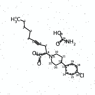 CCCCCC#CCC(N1CCC(c2ccc(Cl)cc2)CC1)=S(=O)=O.NC(=O)O